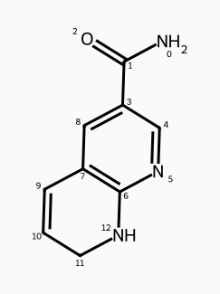 NC(=O)c1cnc2c(c1)C=CCN2